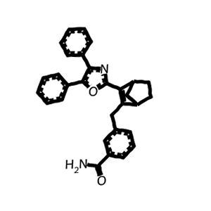 NC(=O)c1cccc(CC2=C(c3nc(-c4ccccc4)c(-c4ccccc4)o3)C3CCC2C3)c1